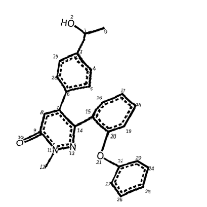 CC(O)c1ccc(-c2cc(=O)n(C)nc2-c2ccccc2Oc2ccccc2)cc1